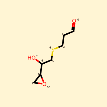 O=CCCSCC(O)C1CO1